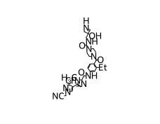 CCc1cc(NC(=O)c2ncc(-c3cn(CC#N)nc3C(F)(F)F)n2C)ccc1C(=O)N1CCN(C(=O)NCC2(O)CNC2)CC1